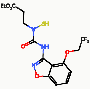 CCOC(=O)CCN(S)C(=O)Nc1noc2cccc(OCC(F)(F)F)c12